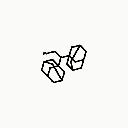 CC(C)CP(C12CC3CC(CC(C3)C1)C2)C12CC3CC(CC(C3)C1)C2